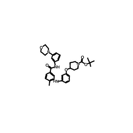 Cc1ccc(C(=O)Nc2cccc(N3CCOCC3)c2)cc1Nc1cccc(OC2CCN(C(=O)OC(C)(C)C)CC2)c1